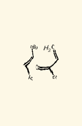 C=CC(=O)CC.CCCC/C=C/C(C)=O